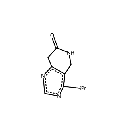 CC(C)c1ncnc2c1CNC(=O)C2